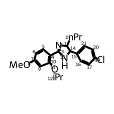 CCCC1N=C(c2ccc(OC)cc2OC(C)C)NC1c1ccc(Cl)cc1